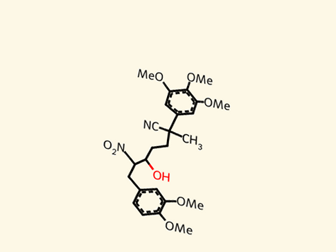 COc1ccc(CC(C(O)CCC(C)(C#N)c2cc(OC)c(OC)c(OC)c2)[N+](=O)[O-])cc1OC